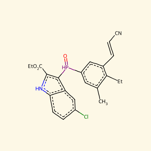 CCOC(=O)c1[nH]c2ccc(Cl)cc2c1[PH](=O)c1cc(C)c(CC)c(C=CC#N)c1